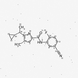 Cc1cc(C(=O)Nc2cc(C#N)ccc2F)nn1C(C)C1CC1